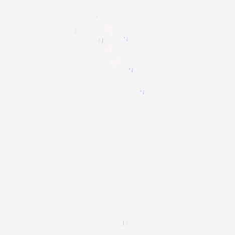 CCCCCCCCCCCCN1CCN(C(=O)CN(C(=O)OC(C)(C)C)c2ccccc2)CC1